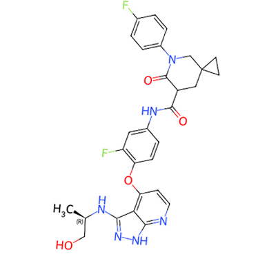 C[C@H](CO)Nc1n[nH]c2nccc(Oc3ccc(NC(=O)C4CC5(CC5)CN(c5ccc(F)cc5)C4=O)cc3F)c12